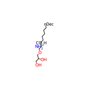 CCCCCCCCCCCCCCCCCCOCC(O)CO.NC(=O)O